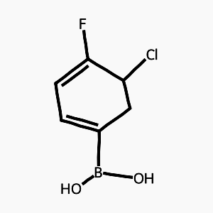 OB(O)C1=CC=C(F)C(Cl)C1